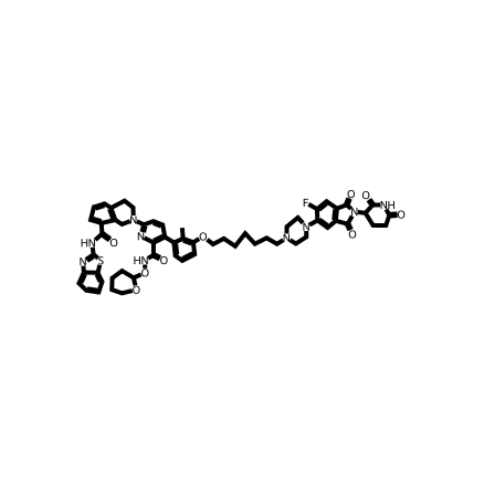 Cc1c(OCCCCCCCN2CCN(c3cc4c(cc3F)C(=O)N(C3CCC(=O)NC3=O)C4=O)CC2)cccc1-c1ccc(N2CCc3cccc(C(=O)Nc4nc5ccccc5s4)c3C2)nc1C(=O)NOC1CCCCO1